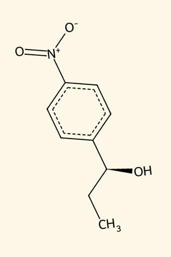 CC[C@H](O)c1ccc([N+](=O)[O-])cc1